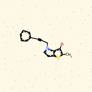 Cc1sc2ccn(CC#Cc3ccccc3)c2c1Br